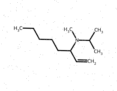 C=CC(CCCCC)N(C)C(C)C